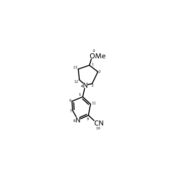 COC1CCN(c2ccnc(C#N)c2)CC1